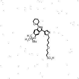 CC(C)(C)[Si](C)(C)Oc1ccc2c(c1)c(-c1cnn(CCCCOCCCS(=O)(=O)O)c1)nn2C1CCCCO1